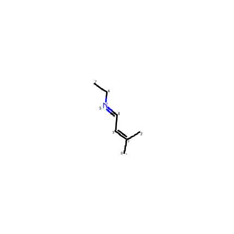 [CH2]C(C)=CC=NCC